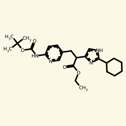 CCOC(=O)C(Cc1ccc(NC(=O)OC(C)(C)C)nc1)c1c[nH]c(C2CCCCC2)n1